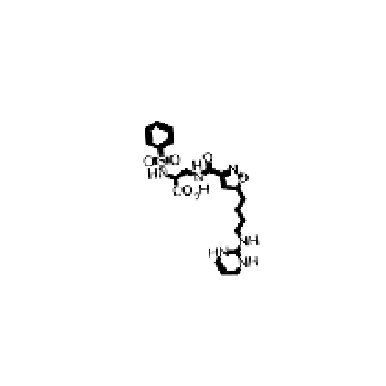 O=C(NCC(NS(=O)(=O)c1ccccc1)C(=O)O)C1=NOC(CCCCNC2NC=CCN2)C1